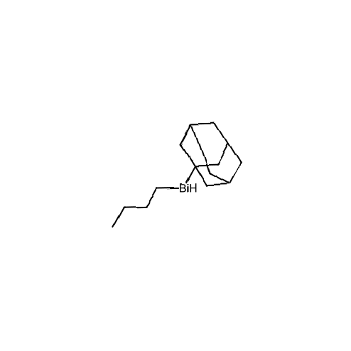 CCC[CH2][BiH][C]12CC3CC(CC(C3)C1)C2